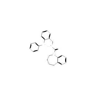 O=C(NCc1ccccc1Oc1ccccc1)N1CCCCc2ccccc21